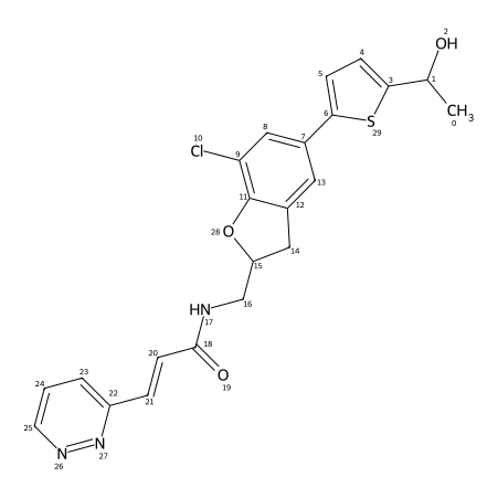 CC(O)c1ccc(-c2cc(Cl)c3c(c2)CC(CNC(=O)C=Cc2cccnn2)O3)s1